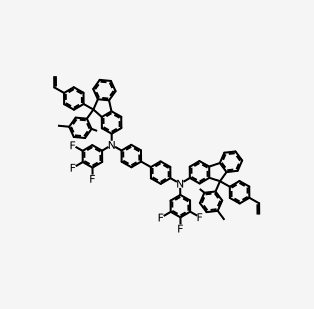 C=Cc1ccc(C2(c3cc(C)ccc3C)c3ccccc3-c3ccc(N(c4ccc(-c5ccc(N(c6cc(F)c(F)c(F)c6)c6ccc7c(c6)C(c6ccc(C=C)cc6)(c6cc(C)ccc6C)c6ccccc6-7)cc5)cc4)c4cc(F)c(F)c(F)c4)cc32)cc1